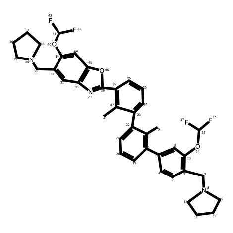 Cc1c(-c2ccc(CN3CCCC3)c(OC(F)F)c2)cccc1-c1cccc(-c2nc3cc(CN4CCCC4)c(OC(F)F)cc3o2)c1C